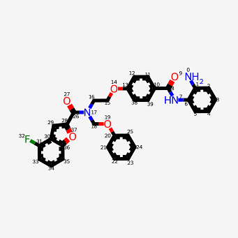 Nc1ccccc1NC(=O)c1ccc(OCCN(COc2ccccc2)C(=O)c2cc3c(F)cccc3o2)cc1